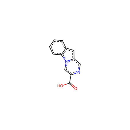 O=C(O)c1cn2c(cn1)cc1ccccc12